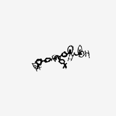 CC(C)(C)C1CCC(N2C(=Nc3ccc(-c4cccc(C(F)(F)F)c4)cc3)OCC2c2ccc(C(=O)NCCC(=O)O)cc2)CC1